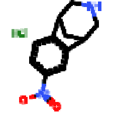 Cl.O=[N+]([O-])c1ccc2c(c1)C1CNCC2C1